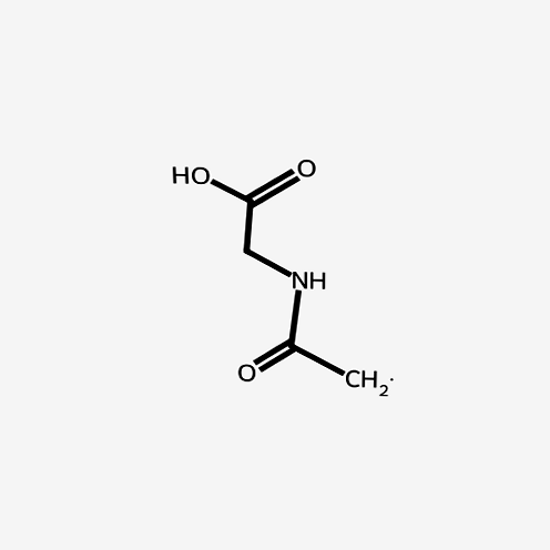 [CH2]C(=O)NCC(=O)O